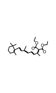 CCOC(=O)C(C(=O)OCC)=C(C)/C=C/C=C(C)/C=C/C1=C(C)CCCC1(C)C